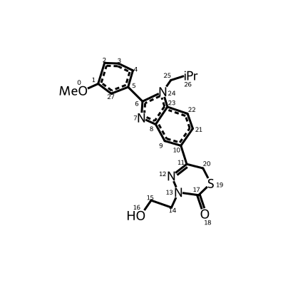 COc1cccc(-c2nc3cc(C4=NN(CCO)C(=O)SC4)ccc3n2CC(C)C)c1